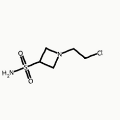 NS(=O)(=O)C1CN(CCCl)C1